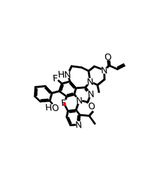 C=CC(=O)N1CC(C)N2c3nc(=O)n(-c4c(C)ccnc4C(C)C)c4c(F)c(-c5ccccc5O)c(F)c(c34)NCCC2C1